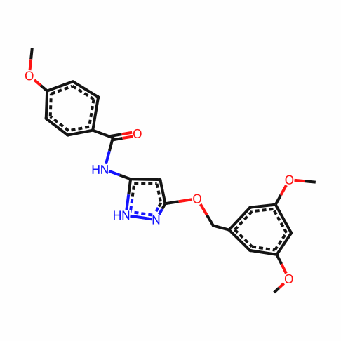 COc1ccc(C(=O)Nc2cc(OCc3cc(OC)cc(OC)c3)n[nH]2)cc1